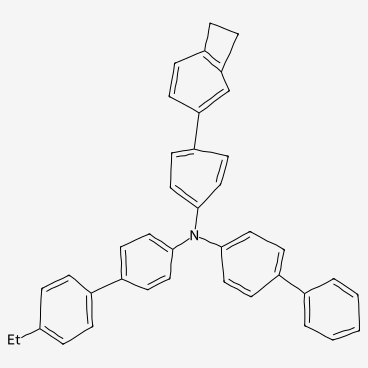 CCc1ccc(-c2ccc(N(c3ccc(-c4ccccc4)cc3)c3ccc(-c4ccc5c(c4)CC5)cc3)cc2)cc1